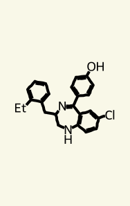 CCc1ccccc1CC1CNc2ccc(Cl)cc2C(c2ccc(O)cc2)=N1